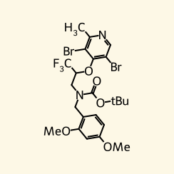 COc1ccc(CN(CC(Oc2c(Br)cnc(C)c2Br)C(F)(F)F)C(=O)OC(C)(C)C)c(OC)c1